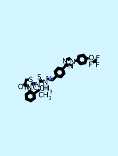 CC(C)(C)c1ccccc1N1C(=O)CS/C1=N\C(=S)N/N=C/c1ccc(-c2ncn(-c3ccc(OC(F)(F)F)cc3)n2)cc1